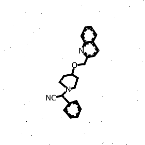 N#CC(c1ccccc1)N1CCC(OCc2ccc3ccccc3n2)CC1